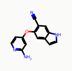 N#Cc1cc2[nH]ccc2cc1Oc1ccnc(N)c1